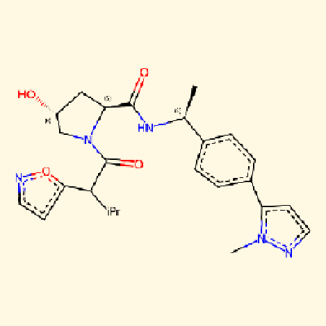 CC(C)C(C(=O)N1C[C@H](O)C[C@H]1C(=O)N[C@@H](C)c1ccc(-c2ccnn2C)cc1)c1ccno1